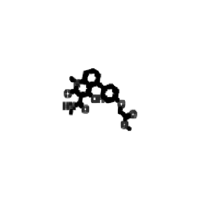 CNC(=O)c1c(O)c2c(-c3ccc(OCC(=O)OC)cc3)cccc2n(C)c1=O